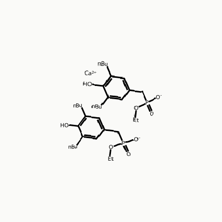 CCCCc1cc(CP(=O)([O-])OCC)cc(CCCC)c1O.CCCCc1cc(CP(=O)([O-])OCC)cc(CCCC)c1O.[Ca+2]